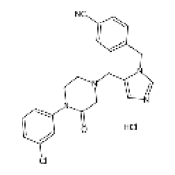 Cl.N#Cc1ccc(Cn2cncc2CN2CCN(c3cccc(Cl)c3)C(=O)C2)cc1